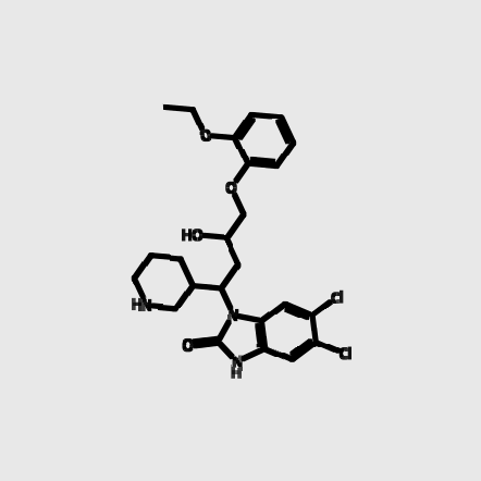 CCOc1ccccc1OCC(O)CC(C1CCCNC1)n1c(=O)[nH]c2cc(Cl)c(Cl)cc21